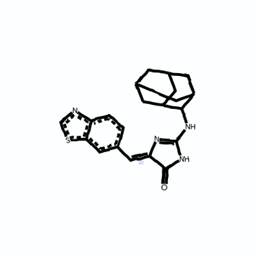 O=C1NC(NC2C3CC4CC(C3)CC2C4)=N/C1=C\c1ccc2ncsc2c1